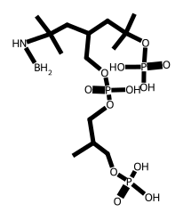 BNC(C)(C)CC(COP(=O)(O)OCC(C)COP(=O)(O)O)CC(C)(C)OP(=O)(O)O